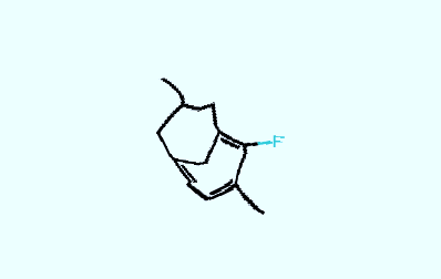 CC1=CC=C2CC(=C1F)CC(C)C2